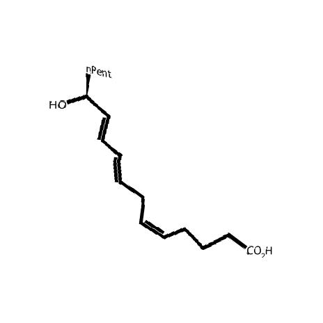 CCCCC[C@H](O)C=C/C=C/C/C=C\CCCC(=O)O